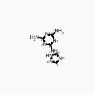 Nc1nc(N)nc(N)n1.c1nc[nH]n1